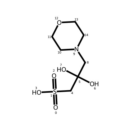 O=S(=O)(O)CC(O)(O)CN1CCOCC1